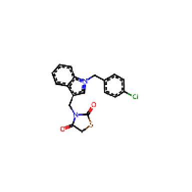 O=C1CSC(=O)N1Cc1cn(Cc2ccc(Cl)cc2)c2ccccc12